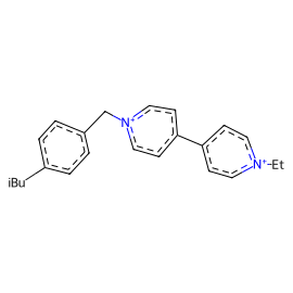 CCC(C)c1ccc(C[n+]2ccc(-c3cc[n+](CC)cc3)cc2)cc1